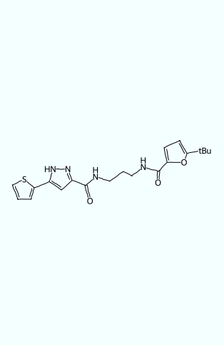 CC(C)(C)c1ccc(C(=O)NCCCNC(=O)c2cc(-c3cccs3)[nH]n2)o1